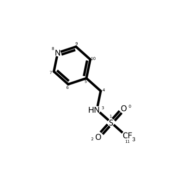 O=S(=O)(NCc1ccncc1)C(F)(F)F